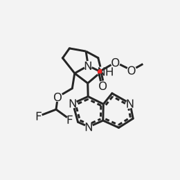 COOC(=O)N1C2CCC1(COC(F)F)C(c1ncnc3ccncc13)NC2